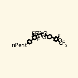 CCCCCc1ccc(-c2cc(F)c(C(F)(F)OC3COC(C4CCC(c5ccc(OC(F)(F)F)c(F)c5)CC4)OC3)c(F)c2)cc1